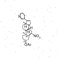 CC(=O)O[C@H]1CC[C@@]2(C)C(=C([N+](=O)[O-])C[C@@H]3[C@@H]2CC[C@]2(C)C(c4cccnc4)=CC[C@@H]32)C1